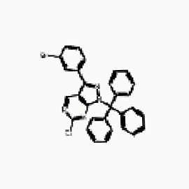 Clc1ncc2c(-c3cccc(Br)c3)nn(C(c3ccccc3)(c3ccccc3)c3ccccc3)c2n1